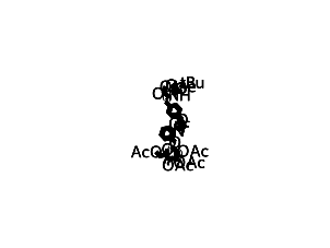 COC(=O)[C@H](Cc1ccc(OS(=O)(F)=Nc2ccccc2O[C@@H]2OC(COC(C)=O)[C@H](OC(C)=O)[C@H](OC(C)=O)[C@H]2OC(C)=O)cc1)NC(=O)OC(C)(C)C